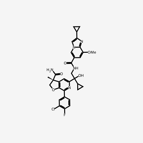 COc1cc(C(=O)NCC(O)(c2cc3c(c(-c4ccc(F)c(Cl)c4)n2)OC[C@]3(C)C(N)=O)C2CC2)cn2cc(C3CC3)nc12